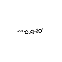 COc1ccc(Cn2ccc(-c3cn4ccc(Cl)cc4n3)n2)cc1